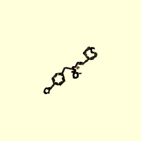 [O-][S+](C=Cc1ccccc1)Cc1ccc(Cl)cc1